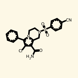 N#Cc1ccc(S(=O)(=O)N2CCn3c(c(C(N)=O)c(Cl)c3-c3ccccc3)C2)cc1